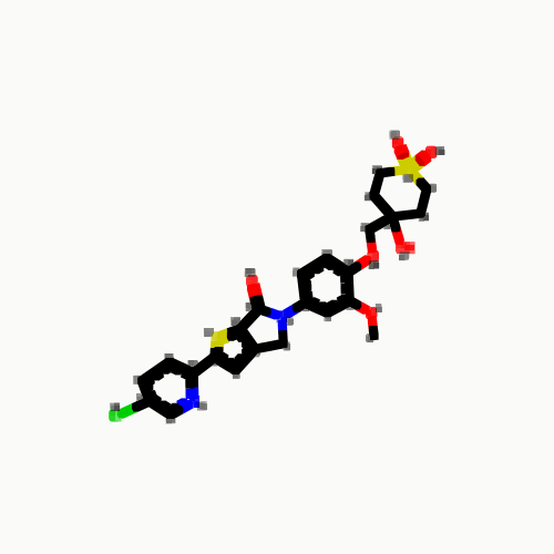 COc1cc(N2Cc3cc(-c4ccc(Cl)cn4)sc3C2=O)ccc1OCC1(O)CCS(=O)(=O)CC1